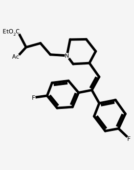 CCOC(=O)C(CCN1CCCC(C=C(c2ccc(F)cc2)c2ccc(F)cc2)C1)C(C)=O